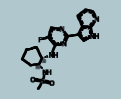 CS(=O)(=O)N[C@@H]1CCCC[C@@H]1Nc1nc(-c2c[nH]c3ncccc23)ncc1F